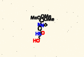 COc1cc(-c2nc3ccc(C(=O)NCCCO)cc3n2C2CCC2)cc(OC)c1OC